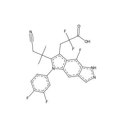 CC(C)(CC#N)c1c(CC(F)(F)C(=O)O)c2c(F)c3[nH]ncc3cc2n1-c1ccc(F)c(F)c1